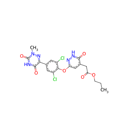 CCCOC(=O)Cc1cc(Oc2c(Cl)cc(-c3nn(C)c(=O)[nH]c3=O)cc2Cl)n[nH]c1=O